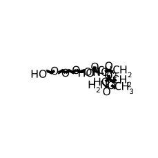 C=CC(=O)O.C=CC(=O)O.C=CC(=O)O.CCOC(N)=O.OCCOCCOCCOCCO